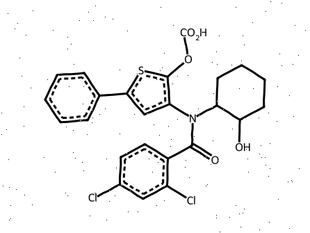 O=C(O)Oc1sc(-c2ccccc2)cc1N(C(=O)c1ccc(Cl)cc1Cl)C1CCCCC1O